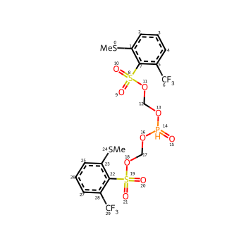 CSc1cccc(C(F)(F)F)c1S(=O)(=O)OCO[PH](=O)OCOS(=O)(=O)c1c(SC)cccc1C(F)(F)F